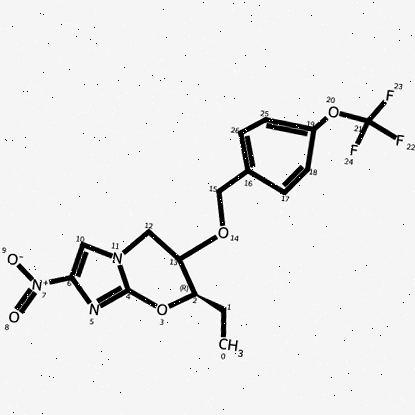 CC[C@H]1Oc2nc([N+](=O)[O-])cn2CC1OCc1ccc(OC(F)(F)F)cc1